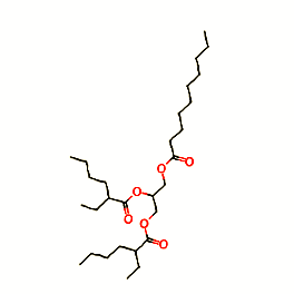 CCCCCCCCCC(=O)OCC(COC(=O)C(CC)CCCC)OC(=O)C(CC)CCCC